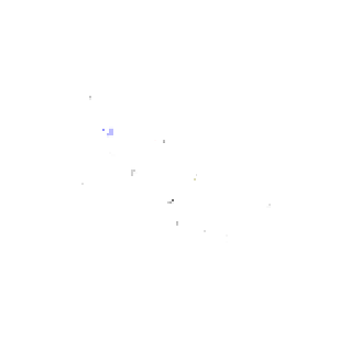 CCNC(=O)C(=O)Cc1cc2ccccc2s1